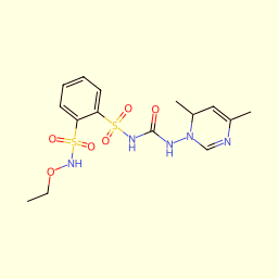 CCONS(=O)(=O)c1ccccc1S(=O)(=O)NC(=O)NN1C=NC(C)=CC1C